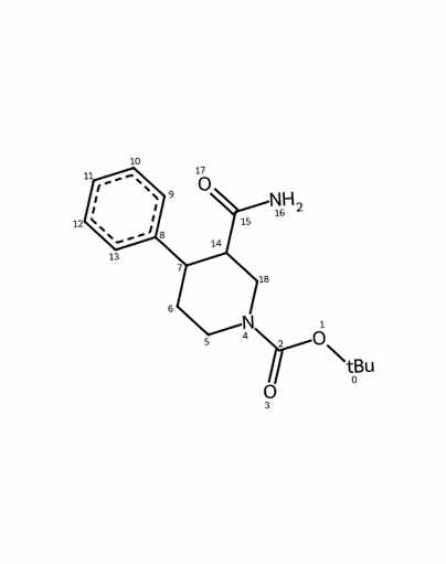 CC(C)(C)OC(=O)N1CCC(c2ccccc2)C(C(N)=O)C1